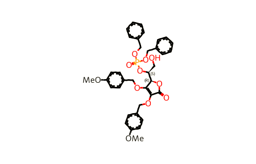 COc1ccc(COC2=C(OCc3ccc(OC)cc3)[C@@H]([C@H](CO)OP(=O)(OCc3ccccc3)OCc3ccccc3)OC2=O)cc1